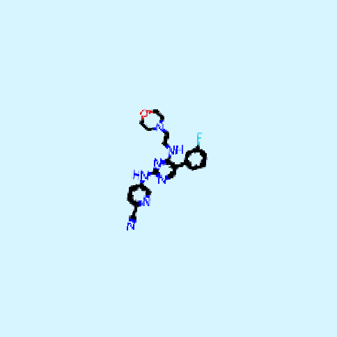 N#Cc1ccc(Nc2ncc(-c3cccc(F)c3)c(NCCN3CCOCC3)n2)cn1